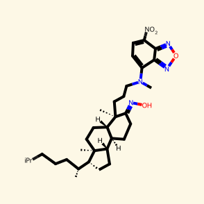 CC(C)CCC[C@@H](C)[C@H]1CC[C@H]2[C@@H]3CC/C(=N\O)[C@](C)(CCCN(C)c4ccc([N+](=O)[O-])c5nonc45)[C@H]3CC[C@]12C